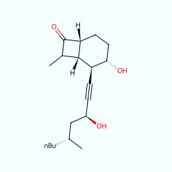 CCCC[C@@H](C)C[C@H](O)C#C[C@H]1[C@@H]2C(C)C(=O)[C@@H]2CC[C@@H]1O